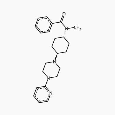 CN(C(=O)c1ccccc1)[C@H]1CC[C@H](N2CCN(c3ccccn3)CC2)CC1